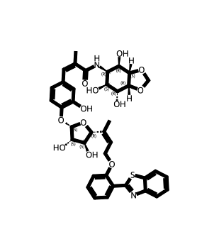 CC(=Cc1ccc(O[C@@H]2O[C@H](C(C)=CCOc3ccccc3-c3nc4ccccc4s3)[C@@H](O)[C@@H]2O)c(O)c1)C(=O)N[C@@H]1[C@H](O)[C@@H](O)[C@H]2OCO[C@H]2[C@@H]1O